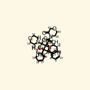 CC(C)(CC[C@](C)(c1cccnc1)C(C)(c1ccccn1)C(C)(N1CCCCC1)C(C)(C)N1CCOCC1)N1CCOCC1=O